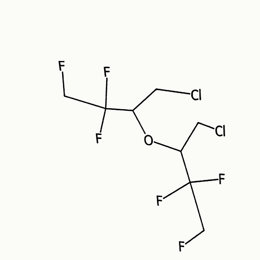 FCC(F)(F)C(CCl)OC(CCl)C(F)(F)CF